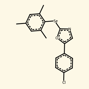 Cc1cc(C)c([Se]c2ncc(-c3ccc(Cl)cc3)o2)c(C)c1